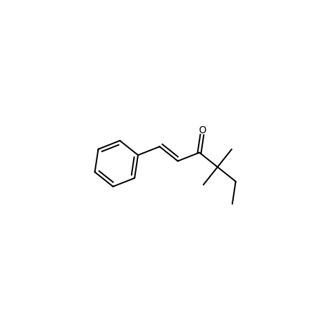 CCC(C)(C)C(=O)C=Cc1ccccc1